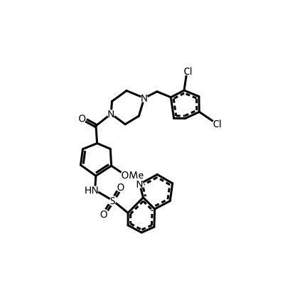 COC1=C(NS(=O)(=O)c2cccc3cccnc23)C=CC(C(=O)N2CCN(Cc3ccc(Cl)cc3Cl)CC2)C1